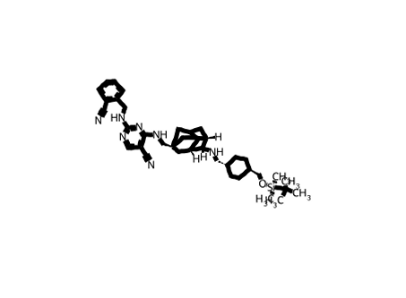 CC(C)(C)[Si](C)(C)OC[C@H]1CC[C@H](CN[C@@H]2[C@@H]3CC4C[C@H]2C[C@@](CNc2nc(NCc5ccccc5C#N)ncc2C#N)(C4)C3)CC1